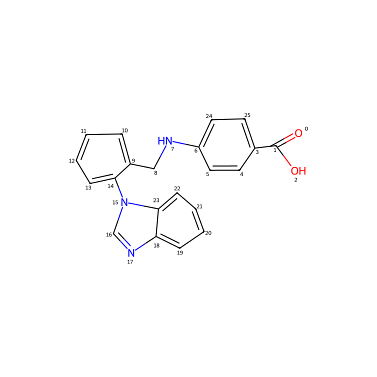 O=C(O)c1ccc(NCc2ccccc2-n2cnc3ccccc32)cc1